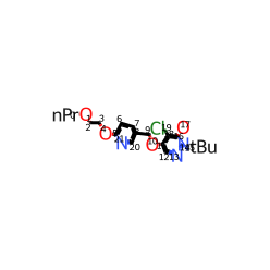 CCCOCCOc1ccc(COc2cnn(C(C)(C)C)c(=O)c2Cl)cn1